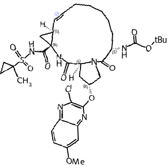 COc1ccc2nc(Cl)c(O[C@@H]3C[C@H]4C(=O)N[C@]5(C(=O)NS(=O)(=O)C6(C)CC6)C[C@H]5/C=C\CCCCC[C@H](NC(=O)OC(C)(C)C)C(=O)N4C3)nc2c1